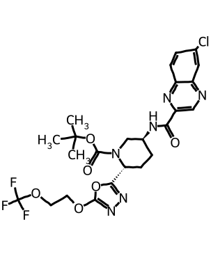 CC(C)(C)OC(=O)N1C[C@@H](NC(=O)c2cnc3cc(Cl)ccc3n2)CC[C@@H]1c1nnc(OCCOC(F)(F)F)o1